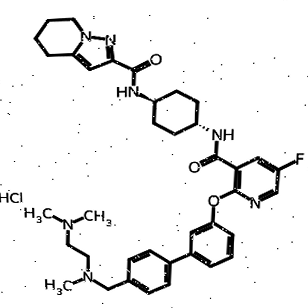 CN(C)CCN(C)Cc1ccc(-c2cccc(Oc3ncc(F)cc3C(=O)N[C@H]3CC[C@H](NC(=O)c4cc5n(n4)CCCC5)CC3)c2)cc1.Cl